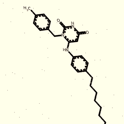 CCCCCCCCc1ccc(Nc2cc(=O)[nH]c(=O)n2Cc2ccc(C)cc2)cc1